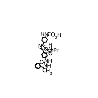 CC(C)NS(=O)(=O)c1cc(NC(=O)N[C@H](C)c2ccccc2)ccc1-c1cnc(C2CCC(NC(=O)O)CC2)s1